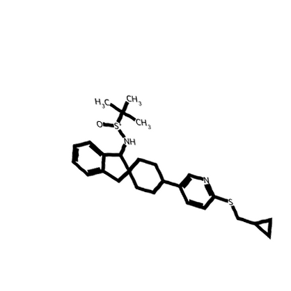 CC(C)(C)[S+]([O-])NC1c2ccccc2CC12CCC(c1ccc(SCC3CC3)nc1)CC2